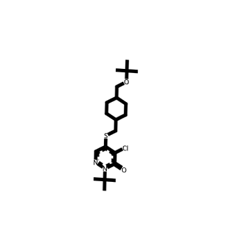 CC(C)(C)OCC1CCC(CSc2cnn(C(C)(C)C)c(=O)c2Cl)CC1